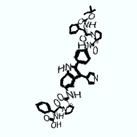 CC(C)(C)OC(=O)N[C@@H](C(=O)N1CCC[C@H]1C(=O)Nc1ccc(-c2[nH]c3ccc(NC(=O)[C@@H]4CCCN4C(=O)[C@H](NC(=O)O)c4ccccc4)cc3c2-c2ccncc2)cc1)c1ccccc1